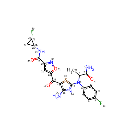 CC(C(N)=O)N(c1ccc(F)cc1)c1nc(N)c(C(=O)c2cc(C(=O)N[C@@H]3C[C@@H]3F)no2)s1